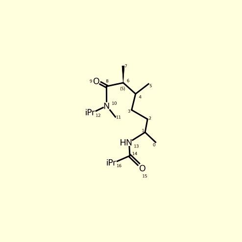 CC(CCC(C)[C@H](C)C(=O)N(C)C(C)C)NC(=O)C(C)C